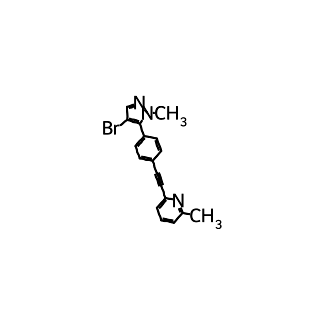 Cc1cccc(C#Cc2ccc(-c3c(Br)cnn3C)cc2)n1